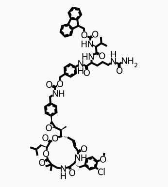 COc1ccc(C[C@H]2NC(=O)/C=C/C[C@@H]([C@H](C)[C@@H]3O[C@H]3c3ccc(CNC(=O)OCc4ccc(NC(=O)C(CCCNC(N)=O)NC(=O)[C@@H](NC(=O)OCC5c6ccccc6-c6ccccc65)C(C)C)cc4)cc3)OC(=O)[C@H](CC(C)C)OC(=O)C(C)(C)CNC2=O)cc1Cl